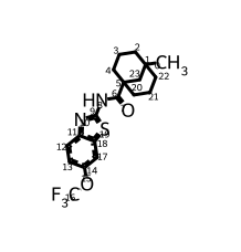 CC12CCCC(C(=O)Nc3nc4ccc(OC(F)(F)F)cc4s3)(CCC1)C2